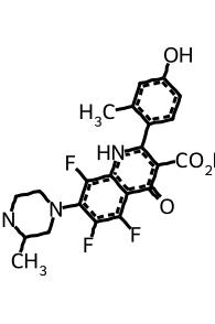 Cc1cc(O)ccc1-c1[nH]c2c(F)c(N3CCNC(C)C3)c(F)c(F)c2c(=O)c1C(=O)O